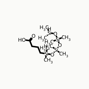 C[SiH](C)O[Si](C)(C)O[Si](C)(C)O[Si](C)(C)CCCC(=O)O